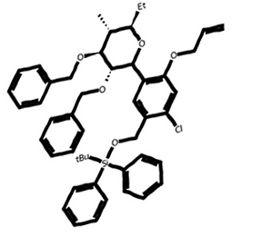 C=CCOc1cc(Cl)c(CO[Si](c2ccccc2)(c2ccccc2)C(C)(C)C)cc1C1O[C@H](CC)[C@@H](C)[C@H](OCc2ccccc2)[C@H]1OCc1ccccc1